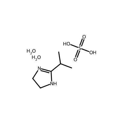 CC(C)C1=NCCN1.O.O.O=S(=O)(O)O